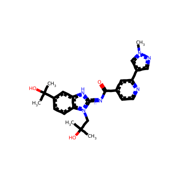 Cn1cc(-c2cc(C(=O)/N=c3\[nH]c4cc(C(C)(C)O)ccc4n3CC(C)(C)O)ccn2)cn1